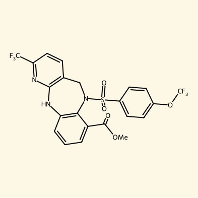 COC(=O)c1cccc2c1N(S(=O)(=O)c1ccc(OC(F)(F)F)cc1)Cc1ccc(C(F)(F)F)nc1N2